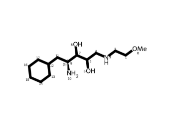 COCCNCC(O)C(O)[C@@H](N)CC1CCCCC1